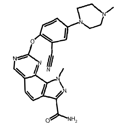 CN1CCN(c2ccc(Oc3ncc4ccc5c(C(N)=O)nn(C)c5c4n3)c(C#N)c2)CC1